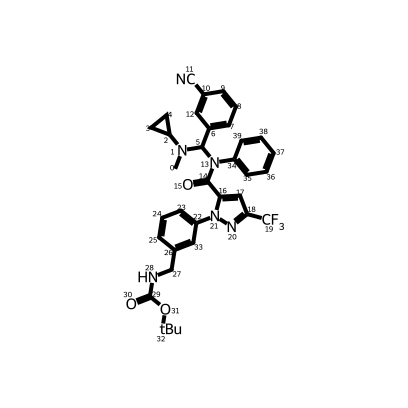 CN(C1CC1)C(c1cccc(C#N)c1)N(C(=O)c1cc(C(F)(F)F)nn1-c1cccc(CNC(=O)OC(C)(C)C)c1)c1ccccc1